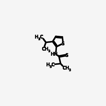 CC(C)C(=S)Nc1sccc1C(C)C